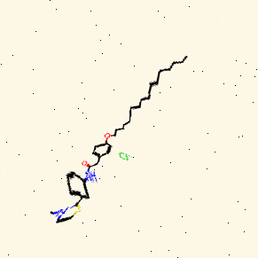 CCCCCCCCCCCCCCCCOc1ccc(CC(=O)Nc2cccc(-c3scc[n+]3C)c2)cc1.[Cl-]